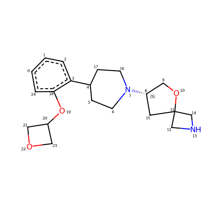 c1ccc(C2CCN([C@@H]3COC4(CNC4)C3)CC2)c(OC2COC2)c1